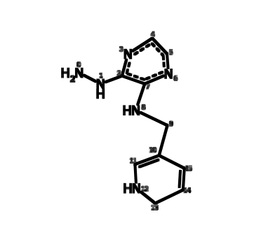 NNc1nccnc1NCC1=CNCC=C1